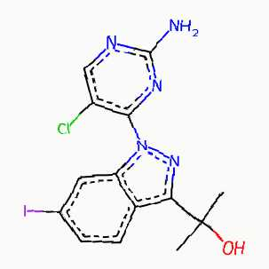 CC(C)(O)c1nn(-c2nc(N)ncc2Cl)c2cc(I)ccc12